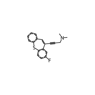 CN(C)CC#CC1=Cc2ccccc2Sc2ccc(F)cc21